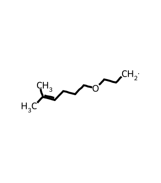 [CH2]CCOCCCC=C(C)C